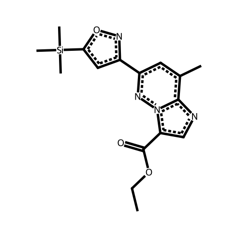 CCOC(=O)c1cnc2c(C)cc(-c3cc([Si](C)(C)C)on3)nn12